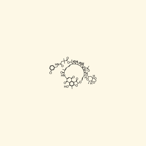 CC(=O)O[C@H]1[C@H](C)[C@H](O)[C@H](C)[C@@H](O)[C@@H](C(C)OC(=O)C(C)(C)CC(=O)NCc2cccc(Cl)c2)/C=C/C=C(/C)C(=O)NC2=CC(=O)c3c(c(O)c(C)c4c3C(=O)[C@@](C)(O/C=C/[C@H](O[C@H]3C[C@@H]5OCO[C@@H]5[C@@H](C)O3)[C@H]1C)O4)C2=O